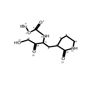 CC(C)(C)OC(=O)NC(CC1CCCNC1=O)C(=O)CO